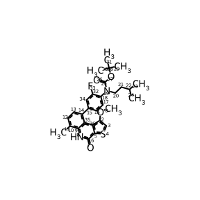 COc1csc2c(=O)[nH]c3c(C)ccc(-c4ccc(N(CCC(C)C)C(=O)OC(C)(C)C)c(F)c4)c3c12